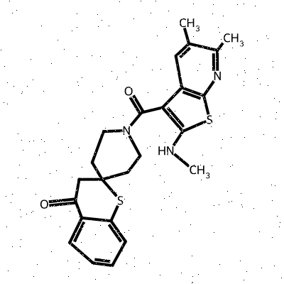 CNc1sc2nc(C)c(C)cc2c1C(=O)N1CCC2(CC1)CC(=O)c1ccccc1S2